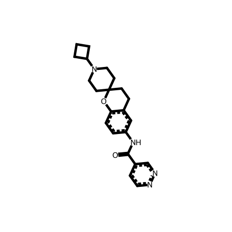 O=C(Nc1ccc2c(c1)CCC1(CCN(C3CCC3)CC1)O2)c1ccnnc1